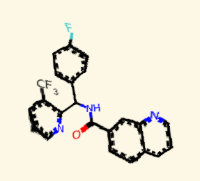 O=C(NC(c1ccc(F)cc1)c1ncccc1C(F)(F)F)c1ccc2cccnc2c1